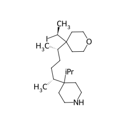 CC(C)C1([C@H](C)CC[C@H](C)C2([C@H](C)I)CCOCC2)CCNCC1